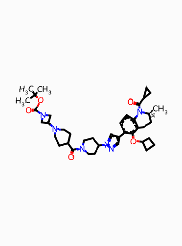 C[C@H]1CCc2c(ccc(-c3cnn(C4CCN(C(=O)C5CCN(C6CN(C(=O)OC(C)(C)C)C6)CC5)CC4)c3)c2OC2CCC2)N1C(=O)C1CC1